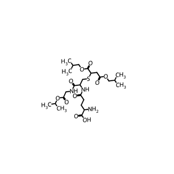 CC(C)COC(=O)CC(SCC(NC(=O)CCC(N)C(=O)O)C(=O)NCC(=O)OC(C)C)C(=O)OCC(C)C